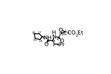 CCOC(=O)[C@H]1O[C@@H]1C(=O)N[C@@H](CC(C)C)C(=O)NC1CCCC1